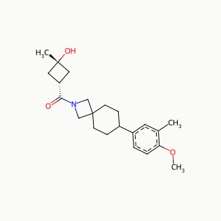 COc1ccc(C2CCC3(CC2)CN(C(=O)[C@H]2C[C@@](C)(O)C2)C3)cc1C